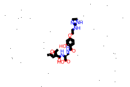 Cc1cc(C(=O)N[C@@H](CNC(=O)c2ccc(OCCNC3=NCCN3)cc2O)C(=O)O)c(C)o1